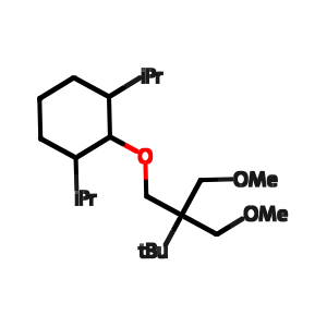 COCC(COC)(COC1C(C(C)C)CCCC1C(C)C)C(C)(C)C